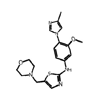 COc1cc(Nc2ncc(CN3CCOCC3)s2)ccc1-n1cnc(C)c1